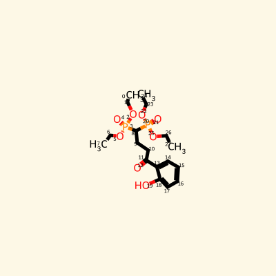 CCOP(=O)(OCC)C(CCC(=O)c1ccccc1O)P(=O)(OCC)OCC